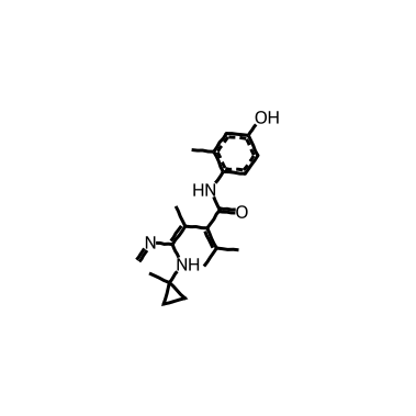 C=N/C(NC1(C)CC1)=C(\C)C(C(=O)Nc1ccc(O)cc1C)=C(C)C